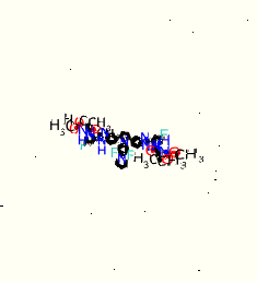 C=C(Nc1ccc([C@H]2CC[C@H](c3ccc4[nH]c([C@@H]5C[C@@H](F)CN5C(=O)[C@@H](NC(=O)OC)C(C)C)nc4c3)N2c2cc(F)c(N3CCCCC3)c(F)c2)cc1N)[C@@H]1C[C@@H](F)CN1C(=O)[C@@H](NC(=O)OC)C(C)C